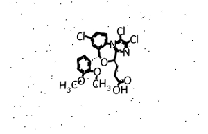 COc1cccc([C@H]2O[C@H](CCC(=O)O)c3nc(Cl)c(Cl)n3-c3ccc(Cl)cc32)c1OC